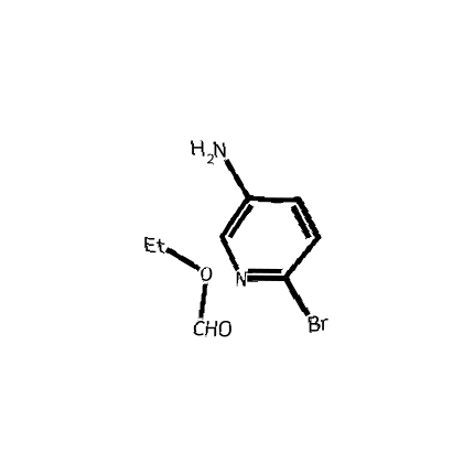 CCOC=O.Nc1ccc(Br)nc1